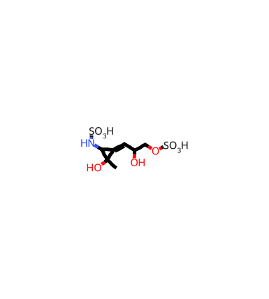 CC1(O)C(=CC(O)COS(=O)(=O)O)C1NS(=O)(=O)O